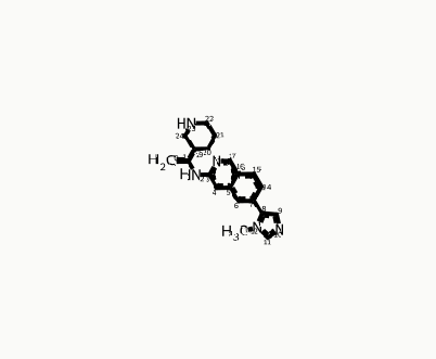 C=C(Nc1cc2cc(-c3cncn3C)ccc2cn1)C1CCCNC1